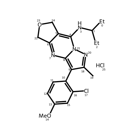 CCC(CC)Nc1c2c(nc3c(-c4ccc(OC)cc4Cl)c(C)nn13)COC2.Cl